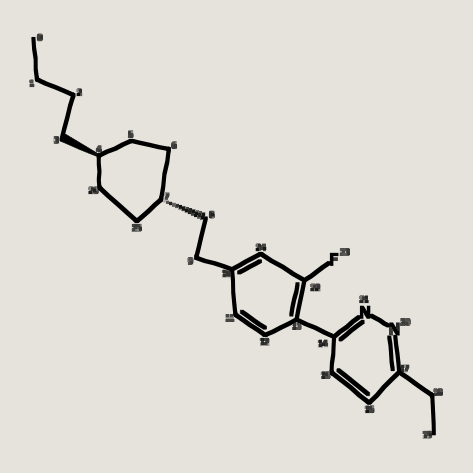 CCCC[C@H]1CC[C@H](CCc2ccc(-c3ccc(CC)nn3)c(F)c2)CC1